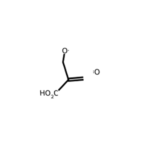 C=C(C[O])C(=O)O.[O]